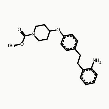 CC(C)(C)OC(=O)N1CCC(Oc2ccc(CCc3ccccc3N)cc2)CC1